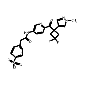 CCS(=O)(=O)c1ccc(CC(=O)Nc2ccc(C(=O)C3(c4cnn(C)c4)CC(F)(F)C3)nc2)cc1